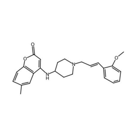 COc1ccccc1C=CCN1CCC(Nc2cc(=O)oc3ccc(C)cc23)CC1